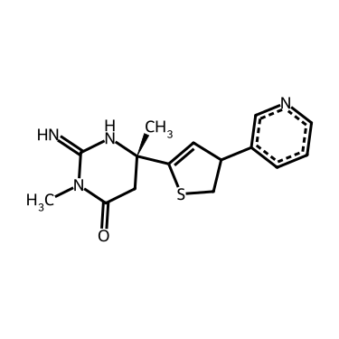 CN1C(=N)N[C@](C)(C2=CC(c3cccnc3)CS2)CC1=O